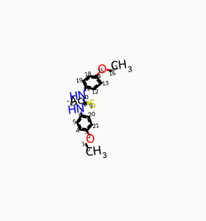 CCOc1ccc(NC(=S)Nc2ccc(OCC)cc2)cc1.[Ac]